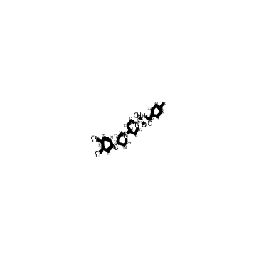 Cc1ccc(C(=O)NS(=O)(=O)N2CCC(N3CCC(Oc4ccc(Cl)c(Cl)c4)CC3)CC2)cc1